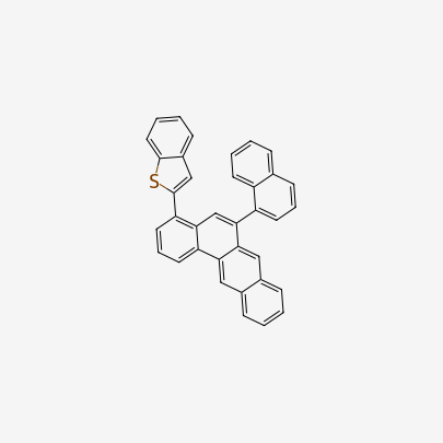 c1ccc2cc3c(cc2c1)c(-c1cccc2ccccc12)cc1c(-c2cc4ccccc4s2)cccc13